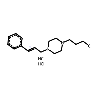 Cl.Cl.ClCCCN1CCN(C/C=C/c2ccccc2)CC1